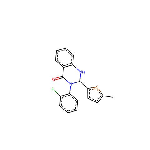 Cc1ccc(C2Nc3ccccc3C(=O)N2c2ccccc2F)s1